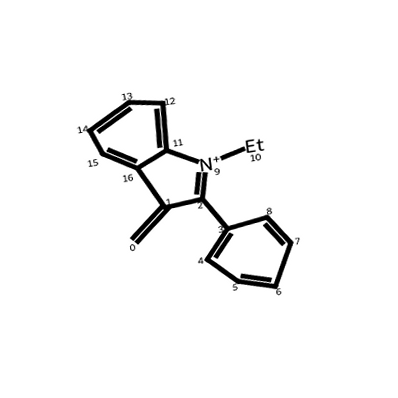 C=C1C(c2ccccc2)=[N+](CC)c2ccccc21